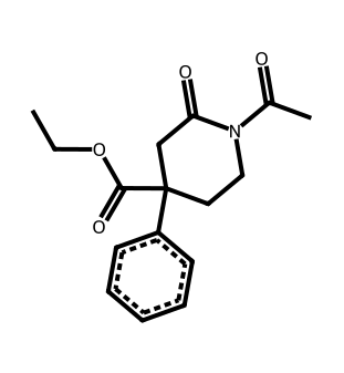 CCOC(=O)C1(c2ccccc2)CCN(C(C)=O)C(=O)C1